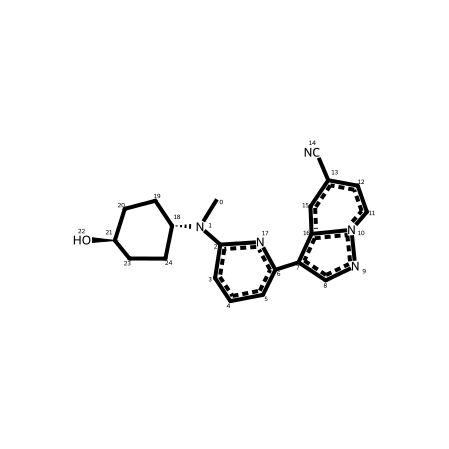 CN(c1cccc(-c2cnn3ccc(C#N)cc23)n1)[C@H]1CC[C@H](O)CC1